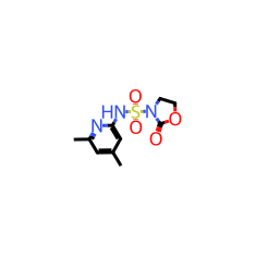 Cc1cc(C)nc(NS(=O)(=O)N2CCOC2=O)c1